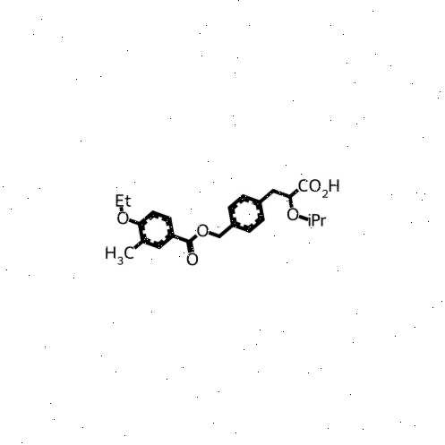 CCOc1ccc(C(=O)OCc2ccc(CC(OC(C)C)C(=O)O)cc2)cc1C